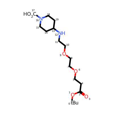 CC(C)(C)OC(=O)CCOCCOCCNC1CCN(C(=O)O)CC1